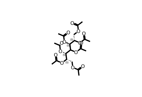 CC(=O)OC[C@H](OC(C)=O)[C@H](OC(C)=O)C(OC(C)=O)[C@@H](OC(C)=O)[C@H](COC(C)=O)OC(C)=O